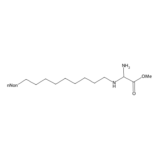 CCCCCCCCCCCCCCCCCCNC(N)C(=O)OC